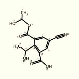 CC(O)OC(=O)c1cc(C#N)cc(C(=O)O)c1C(C)O